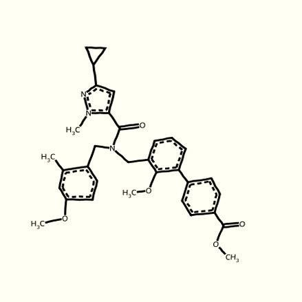 COC(=O)c1ccc(-c2cccc(CN(Cc3ccc(OC)cc3C)C(=O)c3cc(C4CC4)nn3C)c2OC)cc1